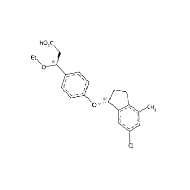 CCO[C@@H](CC(=O)O)c1ccc(O[C@@H]2CCc3c(C)cc(Cl)cc32)cc1